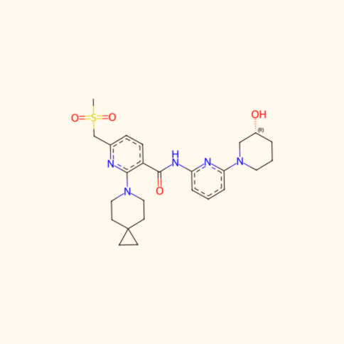 CS(=O)(=O)Cc1ccc(C(=O)Nc2cccc(N3CCC[C@@H](O)C3)n2)c(N2CCC3(CC2)CC3)n1